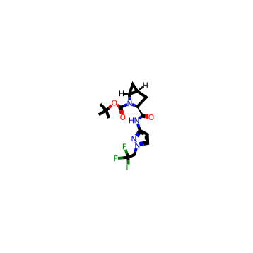 CC(C)(C)OC(=O)N1[C@@H]2C[C@@H]2C[C@H]1C(=O)Nc1ccn(CC(F)(F)F)n1